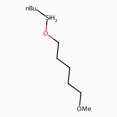 CCCC[SiH2]OCCCCCOC